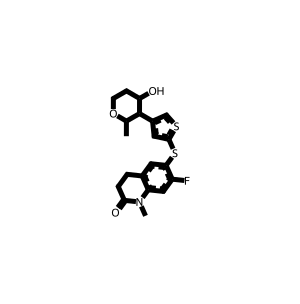 CC1OCCC(O)C1c1csc(Sc2cc3c(cc2F)N(C)C(=O)CC3)c1